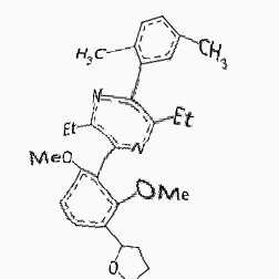 CCc1nc(-c2c(OC)ccc(C3CCOO3)c2OC)c(CC)nc1-c1cc(C)ccc1C